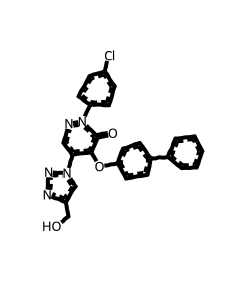 O=c1c(Oc2ccc(-c3ccccc3)cc2)c(-n2cc(CO)nn2)cnn1-c1ccc(Cl)cc1